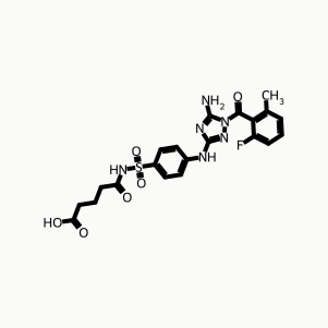 Cc1cccc(F)c1C(=O)n1nc(Nc2ccc(S(=O)(=O)NC(=O)CCCC(=O)O)cc2)nc1N